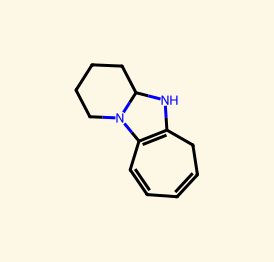 C1=CCC2=C(C=C1)N1CCCCC1N2